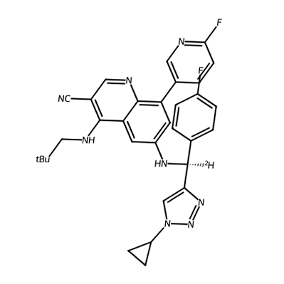 [2H][C@](Nc1cc(-c2ccc(F)nc2)c2ncc(C#N)c(NCC(C)(C)C)c2c1)(c1ccc(F)cc1)c1cn(C2CC2)nn1